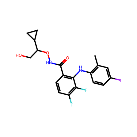 Cc1cc(I)ccc1Nc1c(C(=O)NOC(CO)C2CC2)ccc(F)c1F